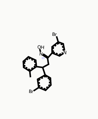 Cc1ccccc1C(C/C(=N/O)c1cncc(Br)c1)c1cccc(Br)c1